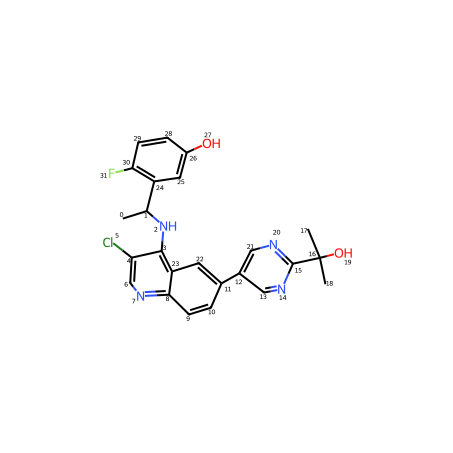 CC(Nc1c(Cl)cnc2ccc(-c3cnc(C(C)(C)O)nc3)cc12)c1cc(O)ccc1F